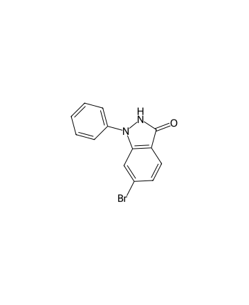 O=c1[nH]n(-c2ccccc2)c2cc(Br)ccc12